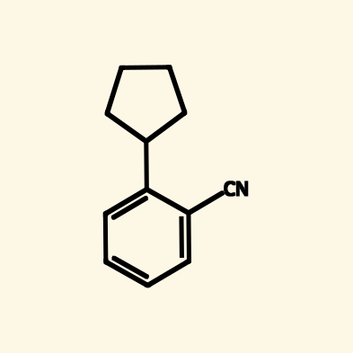 N#Cc1ccccc1C1CCCC1